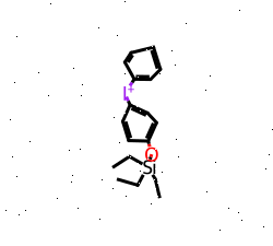 CC[Si](CC)(CC)Oc1ccc([I+]c2ccccc2)cc1